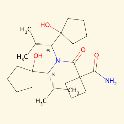 CC(C)[C@@H](N(C(=O)C1(C(N)=O)CCC1)[C@H](C(C)C)C1(O)CCCC1)C1(O)CCCC1